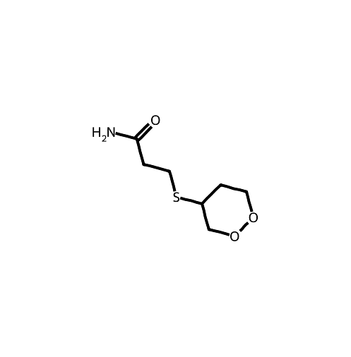 NC(=O)CCSC1CCOOC1